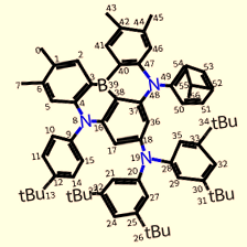 Cc1cc2c(cc1C)N(c1ccc(C(C)(C)C)cc1)c1cc(N(c3cc(C(C)(C)C)cc(C(C)(C)C)c3)c3cc(C(C)(C)C)cc(C(C)(C)C)c3)cc3c1B2c1cc(C)c(C)cc1N3c1ccc2cc1C2C